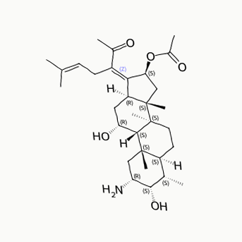 CC(=O)O[C@H]1C[C@@]2(C)[C@@H](C[C@@H](O)[C@H]3[C@@]4(C)C[C@@H](N)[C@@H](O)[C@@H](C)[C@@H]4CC[C@@]32C)/C1=C(\CC=C(C)C)C(C)=O